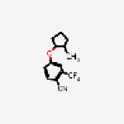 CC1CCCC1Oc1ccc(C#N)c(C(F)(F)F)c1